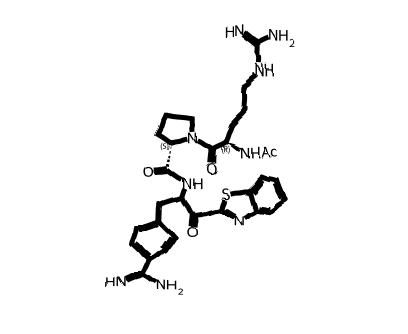 CC(=O)N[C@H](CCCNC(=N)N)C(=O)N1CCC[C@H]1C(=O)NC(Cc1ccc(C(=N)N)cc1)C(=O)c1nc2ccccc2s1